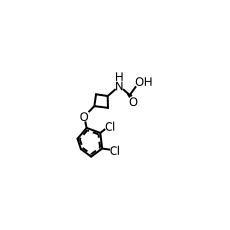 O=C(O)NC1CC(Oc2cccc(Cl)c2Cl)C1